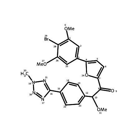 COc1cc(-c2ccc(C(=O)C(OC)c3ccc(-c4nnn(C)n4)cc3)o2)cc(OC)c1Br